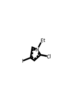 CCn1cc(I)cc1Cl